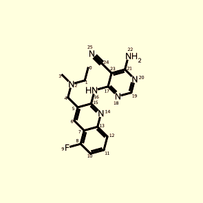 CCN(C)Cc1cc2c(F)cccc2nc1Nc1ncnc(N)c1C#N